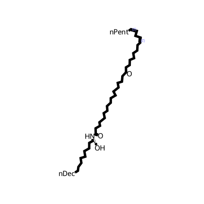 CCCCC/C=C\C/C=C\CCCCCCCC(=O)CCCCCCCCCCCCCCCC(=O)N[C@H](CO)CCCCCCCCCCCCCCCCCC